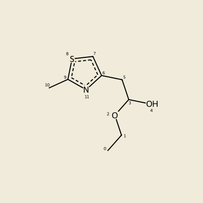 CCOC(O)Cc1csc(C)n1